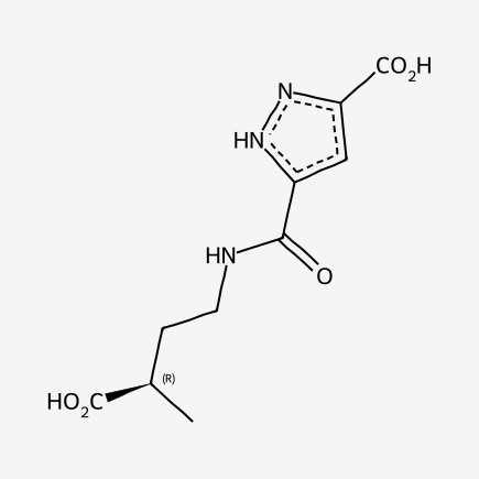 C[C@H](CCNC(=O)c1cc(C(=O)O)n[nH]1)C(=O)O